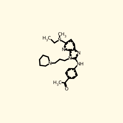 CCN(C)c1ccc2nc(Nc3ccc(C(C)=O)cc3)n(CCCN3CCCCC3)c2n1